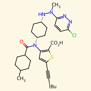 CC1CCC(C(=O)N(c2cc(C#CC(C)(C)C)sc2C(=O)O)[C@H]2CC[C@@H](NN(C)c3ccc(Cl)nn3)CC2)CC1